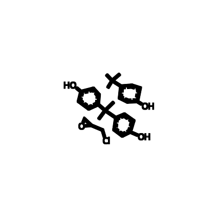 CC(C)(C)c1ccc(O)cc1.CC(C)(c1ccc(O)cc1)c1ccc(O)cc1.ClCC1CO1